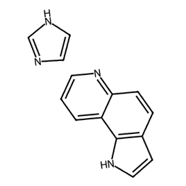 c1c[nH]cn1.c1cnc2ccc3cc[nH]c3c2c1